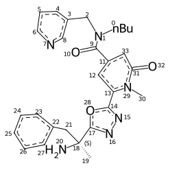 CCCCN(Cc1cccnc1)C(=O)c1cc(-c2nnc([C@@](C)(N)Cc3ccccc3)o2)n(C)c(=O)c1